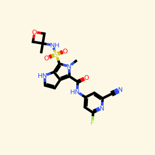 Cn1c(C(=O)Nc2cc(F)nc(C#N)c2)c2cc[nH]c2c1S(=O)(=O)NC1(C)COC1